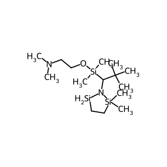 CN(C)CCO[Si](C)(C)C(N1[SiH2]CC[Si]1(C)C)C(C)(C)C